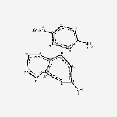 COc1ccc(N)cc1.Oc1ccc2ccccc2c1